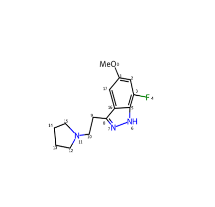 COc1cc(F)c2[nH]nc(CCN3CCCC3)c2c1